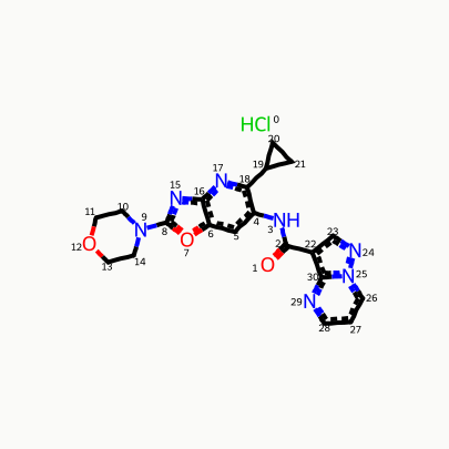 Cl.O=C(Nc1cc2oc(N3CCOCC3)nc2nc1C1CC1)c1cnn2cccnc12